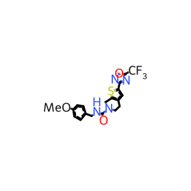 COc1ccc(CNC(=O)N2CCc3cc(-c4noc(C(F)(F)F)n4)sc3C2)cc1